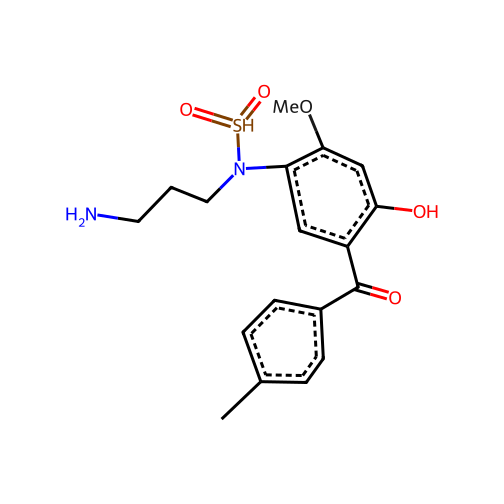 COc1cc(O)c(C(=O)c2ccc(C)cc2)cc1N(CCCN)[SH](=O)=O